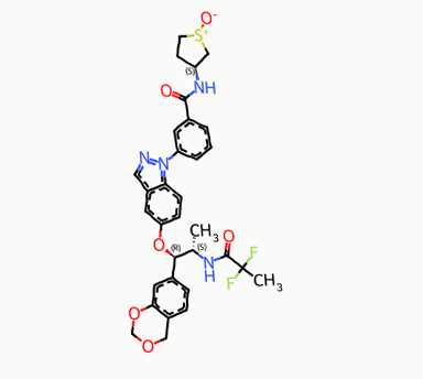 C[C@H](NC(=O)C(C)(F)F)[C@H](Oc1ccc2c(cnn2-c2cccc(C(=O)N[C@H]3CC[S+]([O-])C3)c2)c1)c1ccc2c(c1)OCOC2